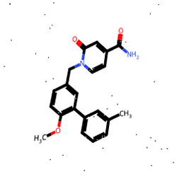 COc1ccc(Cn2ccc(C(N)=O)cc2=O)cc1-c1cccc(C)c1